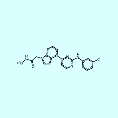 CC(C)(C)NC(=O)Cn1ccc2c(-c3ccnc(Nc4cccc(Cl)c4)n3)cccc21